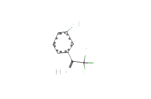 C=C(c1cccc(Cl)c1)C(F)(F)F